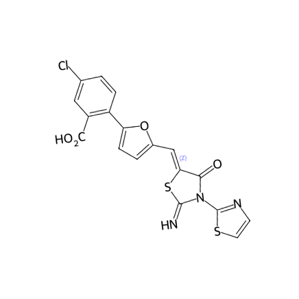 N=C1S/C(=C\c2ccc(-c3ccc(Cl)cc3C(=O)O)o2)C(=O)N1c1nccs1